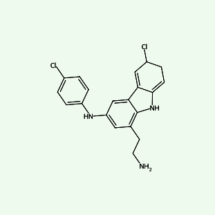 NCCc1cc(Nc2ccc(Cl)cc2)cc2c3c([nH]c12)=CCC(Cl)C=3